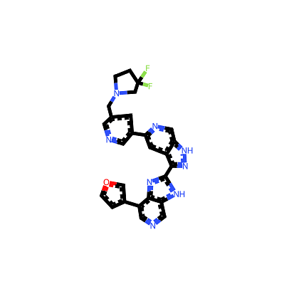 FC1(F)CCN(Cc2cncc(-c3cc4c(-c5nc6c(-c7ccoc7)cncc6[nH]5)n[nH]c4cn3)c2)C1